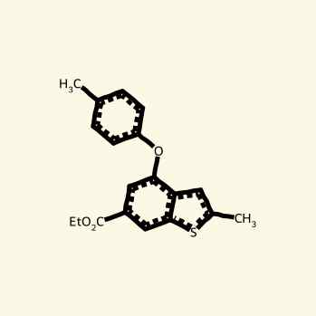 CCOC(=O)c1cc(Oc2ccc(C)cc2)c2cc(C)sc2c1